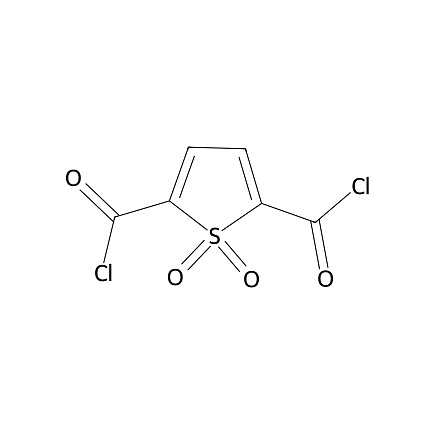 O=C(Cl)C1=CC=C(C(=O)Cl)S1(=O)=O